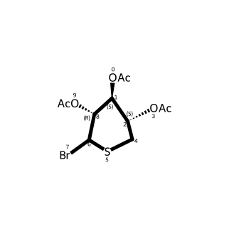 CC(=O)O[C@H]1[C@H](OC(C)=O)CSC(Br)[C@@H]1OC(C)=O